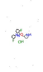 Cl.Fc1cccc(-n2nc(OCC3CCCNC3)c3c(F)cccc32)c1